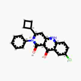 O=c1c2cc(Cl)ccc2[nH]c2cc(C3CCC3)n(-c3ccccc3)c(=O)c12